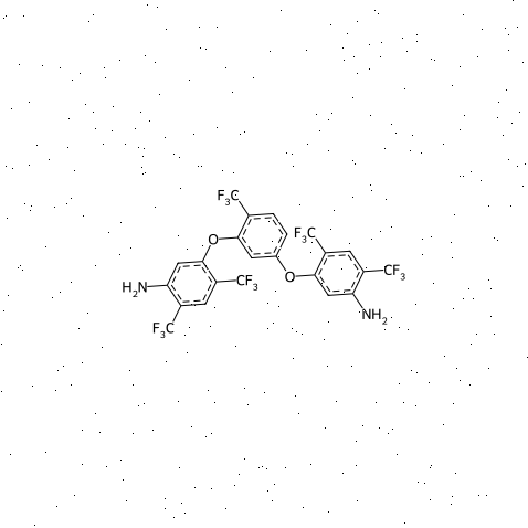 Nc1cc(Oc2ccc(C(F)(F)F)c(Oc3cc(N)c(C(F)(F)F)cc3C(F)(F)F)c2)c(C(F)(F)F)cc1C(F)(F)F